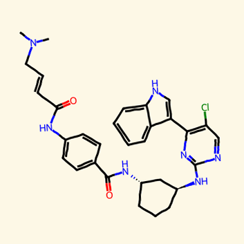 CN(C)C/C=C/C(=O)Nc1ccc(C(=O)N[C@H]2CCC[C@H](Nc3ncc(Cl)c(-c4c[nH]c5ccccc45)n3)C2)cc1